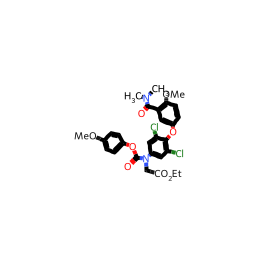 CCOC(=O)CN(C(=O)Oc1ccc(OC)cc1)c1cc(Cl)c(Oc2ccc(OC)c(C(=O)N(C)C)c2)c(Cl)c1